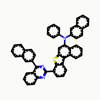 c1ccc(N(c2ccc3ccccc3c2)c2cc3sc4c(-c5nc(-c6ccc7ccccc7c6)c6ccccc6n5)cccc4c3c3ccccc23)cc1